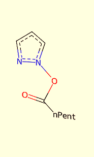 CCCCCC(=O)On1cccn1